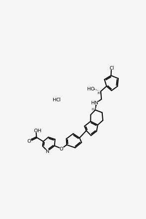 Cl.O=C(O)c1ccc(Oc2ccc(-c3ccc4c(c3)C[C@@H](NC[C@H](O)c3cccc(Cl)c3)CC4)cc2)nc1